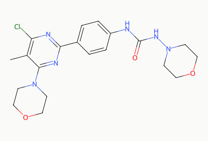 Cc1c(Cl)nc(-c2ccc(NC(=O)NN3CCOCC3)cc2)nc1N1CCOCC1